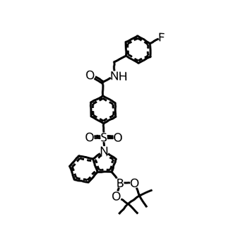 CC1(C)OB(c2cn(S(=O)(=O)c3ccc(C(=O)NCc4ccc(F)cc4)cc3)c3ccccc23)OC1(C)C